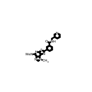 CNc1nc2sc(-c3cccc(C(=O)NCc4cccnc4)c3)nc2c2c1ncn2C